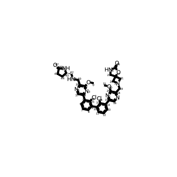 COc1nc(-c2cccc(-c3cccc(-c4cnc(CN5CC6(CNC(=O)O6)C5)c(OC)n4)c3Cl)c2Cl)cnc1CNC[C@@H]1CCC(=O)N1